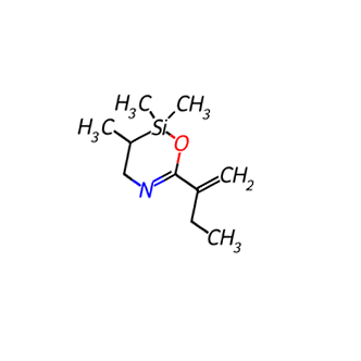 C=C(CC)C1=NCC(C)[Si](C)(C)O1